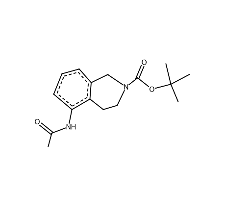 CC(=O)Nc1cccc2c1CCN(C(=O)OC(C)(C)C)C2